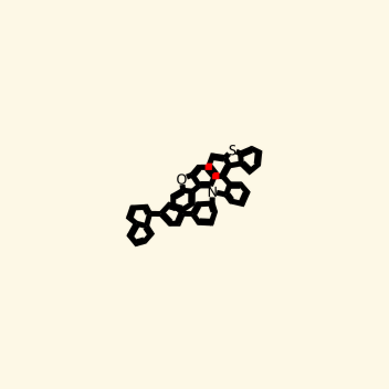 c1cc(-c2ccc(-c3cccc4ccccc34)cc2)cc(N(c2ccccc2-c2cccc3sc4ccccc4c23)c2cccc3oc4ccccc4c23)c1